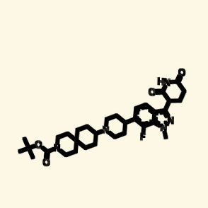 Cn1nc(C2CCC(=O)NC2=O)c2ccc(C3CCN(C4CCC5(CC4)CCN(C(=O)OC(C)(C)C)CC5)CC3)c(F)c21